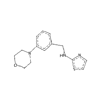 c1cc(CNc2nccs2)cc(N2CCOCC2)c1